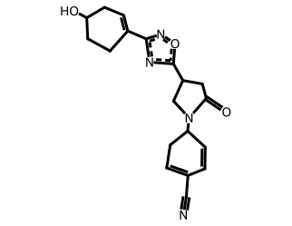 N#CC1=CCC(N2CC(c3nc(C4=CCC(O)CC4)no3)CC2=O)C=C1